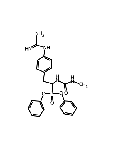 CNC(=O)NC(Cc1ccc(NC(=N)N)cc1)P(=O)(Oc1ccccc1)Oc1ccccc1